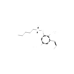 C/C=C\c1cc(C(=O)O)cc(NS(=O)(=O)CCCCCl)c1OC